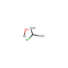 CCO.O=CC(Br)C=O